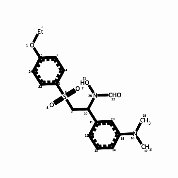 CCOc1ccc(S(=O)(=O)CC(c2cccc(N(C)C)c2)N(O)C=O)cc1